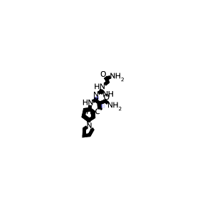 C/C=C(C(N)=O)\C(=N/C(=N)NCC(N)=O)Nc1ccc(N2CCCC2)cc1